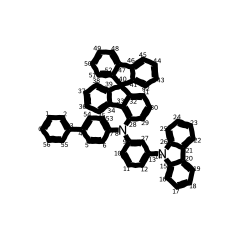 c1ccc(-c2ccc(N(c3cccc(-n4c5ccccc5c5ccccc54)c3)c3cccc4c3-c3ccccc3C43c4ccccc4-c4ccccc43)cc2)cc1